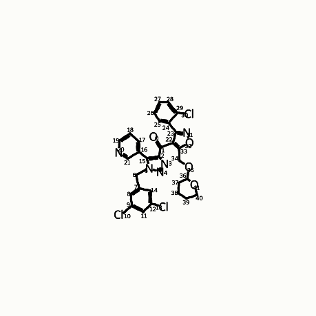 O=C(c1nnn(Cc2cc(Cl)cc(Cl)c2)c1-c1cccnc1)c1c(-c2ccccc2Cl)noc1COC1CCCCO1